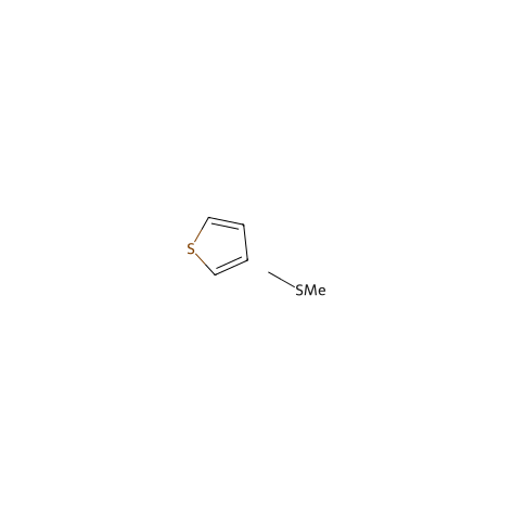 CSC.c1ccsc1